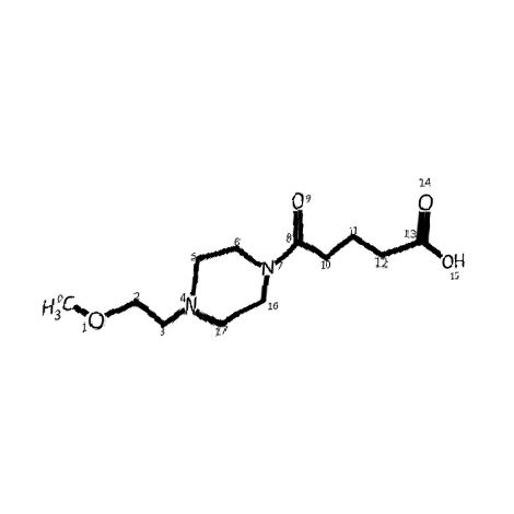 COCCN1CCN(C(=O)CCCC(=O)O)CC1